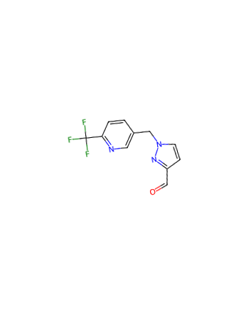 O=Cc1ccn(Cc2ccc(C(F)(F)F)nc2)n1